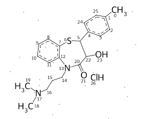 Cc1ccc(C2Sc3ccccc3N(CCCN(C)C)C(=O)C2O)cc1.Cl